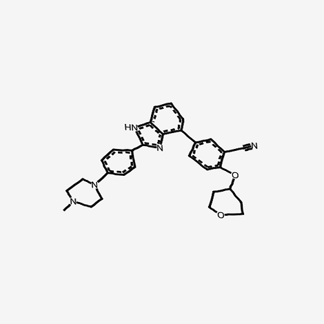 CN1CCN(c2ccc(-c3nc4c(-c5ccc(OC6CCOCC6)c(C#N)c5)cccc4[nH]3)cc2)CC1